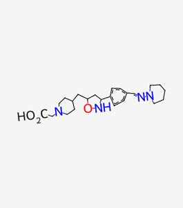 O=C(O)CN1CCC(CC2CC(c3ccc(C=NN4CCCCC4)cc3)NO2)CC1